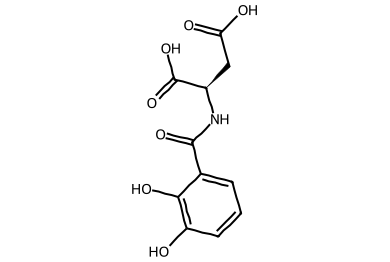 O=C(O)C[C@@H](NC(=O)c1cccc(O)c1O)C(=O)O